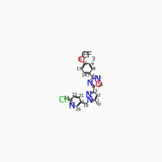 Cc1cc(-c2nc(-c3ccc(OC(F)(F)F)cc3)no2)nn1Cc1ccc(Cl)nc1